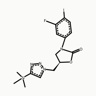 C[Si](C)(C)c1cn(C[C@H]2CN(c3ccc(I)c(F)c3)C(=O)O2)nn1